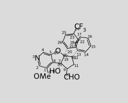 COc1cncc2c1[C@]1(O)C(C=O)C[C@@H](c3ccccc3)[C@]1(c1ccc(C(F)(F)F)cc1)O2